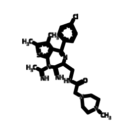 CC(=N)N1C(=N)C(CNC(=O)CN2CCN(C)CC2)N=C(c2ccc(Cl)cc2)c2c1sc(C)c2C